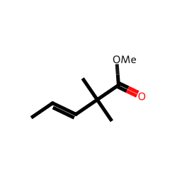 C/C=C/C(C)(C)C(=O)OC